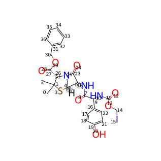 CC1(C)S[C@@H]2[C@H](NC(=O)C(NC(=O)OCI)c3ccc(O)cc3)C(=O)N2[C@H]1C(=O)OCc1ccccc1